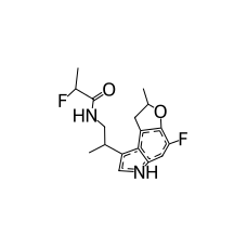 CC1Cc2c(c(F)cc3[nH]cc(C(C)CNC(=O)C(C)F)c23)O1